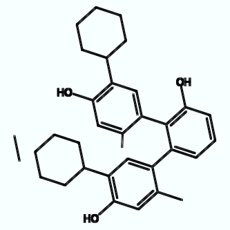 CC.Cc1cc(O)c(C2CCCCC2)cc1-c1cccc(O)c1-c1cc(C2CCCCC2)c(O)cc1C